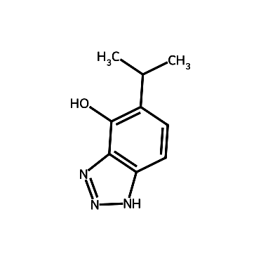 CC(C)c1ccc2[nH]nnc2c1O